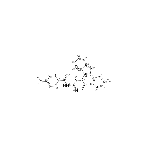 COc1ccc(C(=O)Nc2nccc(-c3c(-c4cccc(C)c4)nc4cccnn34)n2)cc1